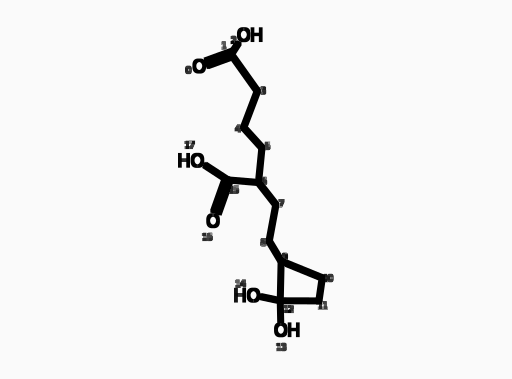 O=C(O)CCCC(CCC1CCC1(O)O)C(=O)O